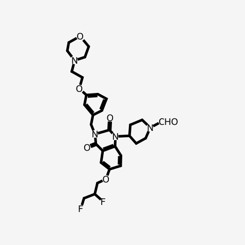 O=CN1CCC(n2c(=O)n(Cc3cccc(OCCN4CCOCC4)c3)c(=O)c3cc(OCC(F)CF)ccc32)CC1